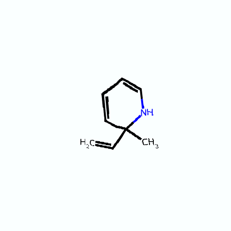 C=CC1(C)C=CC=CN1